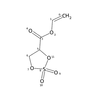 C=COC(=O)C1COS(=O)(=O)O1